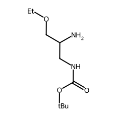 CCOCC(N)CNC(=O)OC(C)(C)C